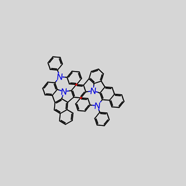 c1ccc(N(c2ccccc2)c2c3ccccc3cc3c4cccc5c6cc7c(cc6n(c23)c54)c2c3ccccc3cc3c4cccc(N(c5ccccc5)c5ccccc5)c4n7c32)cc1